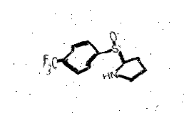 [O-][S+](c1ccc(C(F)(F)F)cc1)C1CCCN1